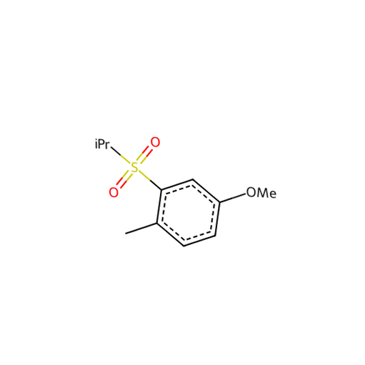 COc1ccc(C)c(S(=O)(=O)C(C)C)c1